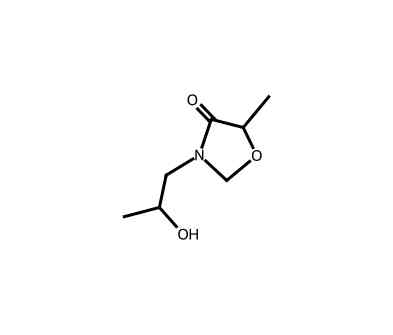 CC(O)CN1COC(C)C1=O